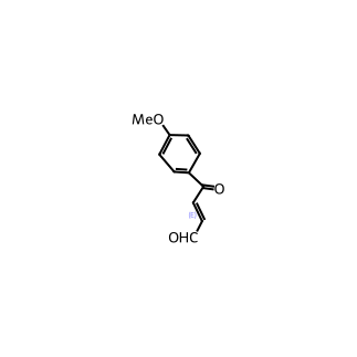 COc1ccc(C(=O)/C=C/C=O)cc1